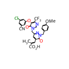 COc1ccc(Cn2nc(Cn3cnc(C(F)(F)F)c(Oc4cc(Cl)cc(C#N)c4)c3=O)cc(/C=C(\C)C(=O)O)c2=O)cc1